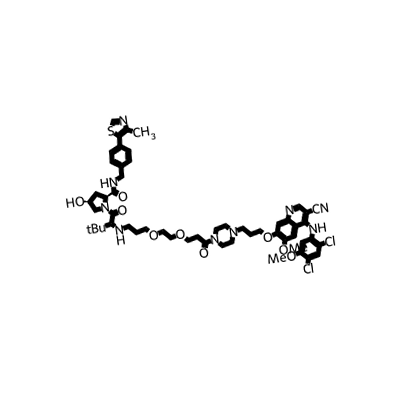 COc1cc(Nc2c(C#N)cnc3cc(OCCCN4CCN(C(=O)CCOCCOCCCNC(C(=O)N5C[C@H](O)C[C@H]5C(=O)NCc5ccc(-c6scnc6C)cc5)C(C)(C)C)CC4)c(OC)cc23)c(Cl)cc1Cl